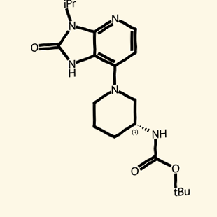 CC(C)n1c(=O)[nH]c2c(N3CCC[C@@H](NC(=O)OC(C)(C)C)C3)ccnc21